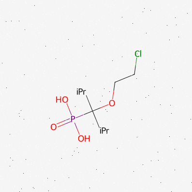 CC(C)C(OCCCl)(C(C)C)P(=O)(O)O